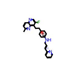 Cc1ccc2ncc(F)c(CCC34CCC(NC/C=C/c5ccccn5)(CC3)CO4)c2n1